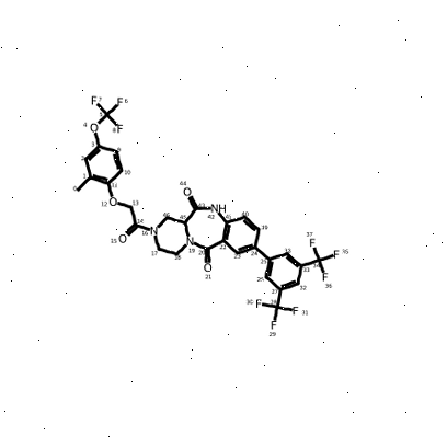 Cc1cc(OC(F)(F)F)ccc1OCC(=O)N1CCN2C(=O)c3cc(-c4cc(C(F)(F)F)cc(C(F)(F)F)c4)ccc3NC(=O)C2C1